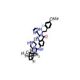 CC[C@H]1CN(/C(=N\[C@H]2C[C@H]3C[C@@H]([C@@H]2C)C3(C)C)Nc2ccc3c(=O)n(CCc4ccc(OC)cc4F)c(-c4ncc[nH]4)nc3c2)CCN1